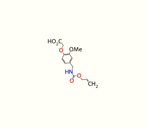 C=CCOC(=O)NCc1ccc(OCC(=O)O)c(OC)c1